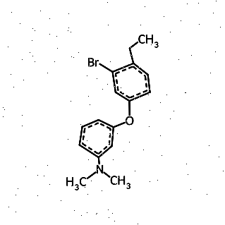 CCc1ccc(Oc2cccc(N(C)C)c2)cc1Br